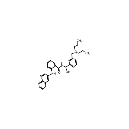 CCCN(CCC)Cc1cccc(C(O)NC(=O)c2ccccc2Nc2cnc3ccccc3c2)c1